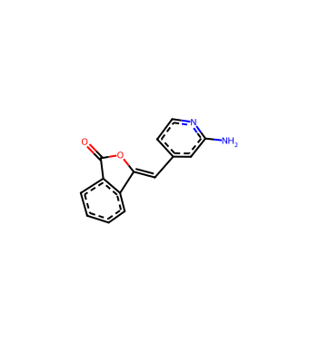 Nc1cc(/C=C2\OC(=O)c3ccccc32)ccn1